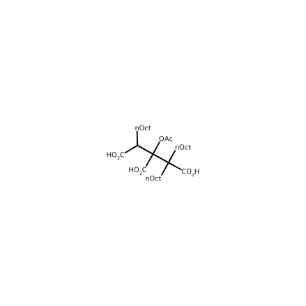 CCCCCCCCC(C(=O)O)C(OC(C)=O)(C(=O)O)C(CCCCCCCC)(CCCCCCCC)C(=O)O